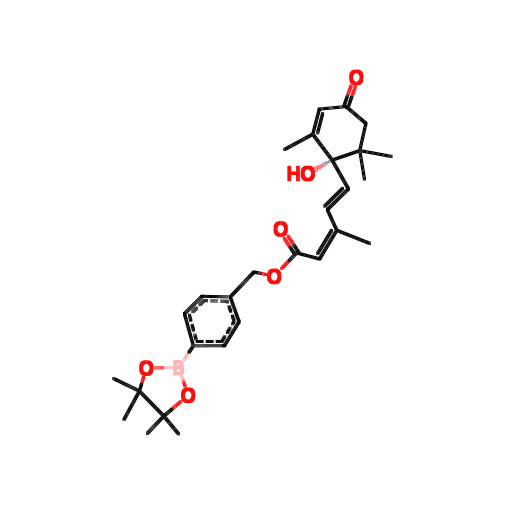 CC1=CC(=O)CC(C)(C)[C@@]1(O)/C=C/C(C)=C\C(=O)OCc1ccc(B2OC(C)(C)C(C)(C)O2)cc1